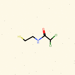 O=C(NCCS)C(Cl)Cl